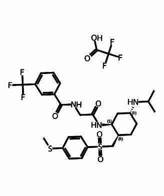 CSc1ccc(S(=O)(=O)C[C@@H]2CC[C@@H](NC(C)C)C[C@@H]2NC(=O)CNC(=O)c2cccc(C(F)(F)F)c2)cc1.O=C(O)C(F)(F)F